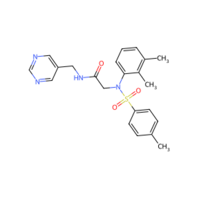 Cc1ccc(S(=O)(=O)N(CC(=O)NCc2cncnc2)c2cccc(C)c2C)cc1